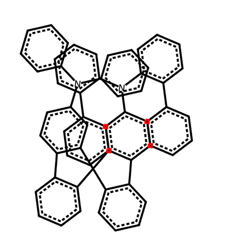 c1ccc(-c2ccccc2N(c2ccc3c(c2)C2(c4ccccc4-c4ccc(N(c5ccccc5)c5ccccc5)cc42)c2ccccc2-3)c2ccccc2-c2ccccc2)cc1